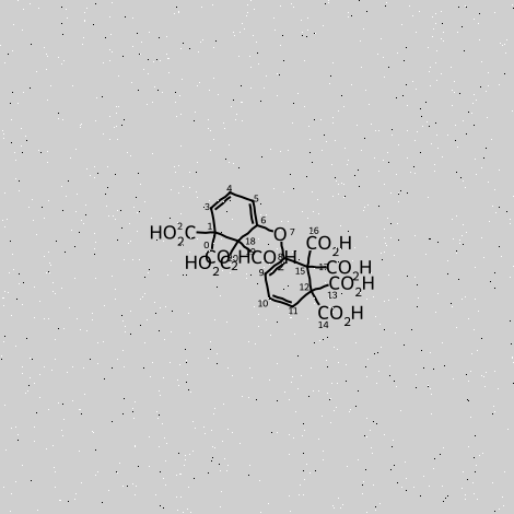 O=C(O)C1(C(=O)O)C=CC=C(OC2=CC=CC(C(=O)O)(C(=O)O)C2(C(=O)O)C(=O)O)C1(C(=O)O)C(=O)O